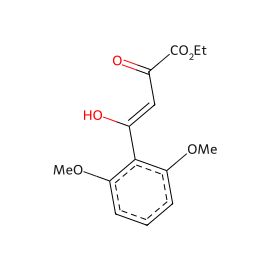 CCOC(=O)C(=O)/C=C(\O)c1c(OC)cccc1OC